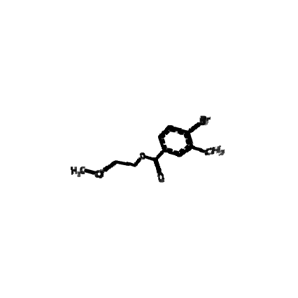 COCCOC(=O)c1ccc(Br)c(C)c1